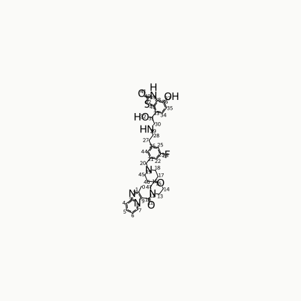 Cc1nc2ccccn2c1C(=O)N1CCOC2(CCN(Cc3cc(F)cc(CCNCC(O)c4ccc(O)c5[nH]c(=O)sc45)c3)CC2)C1